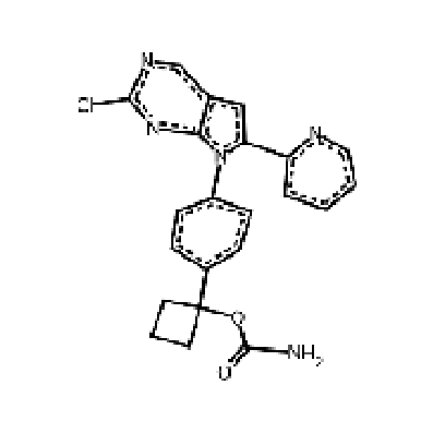 NC(=O)OC1(c2ccc(-n3c(-c4ccccn4)cc4cnc(Cl)nc43)cc2)CCC1